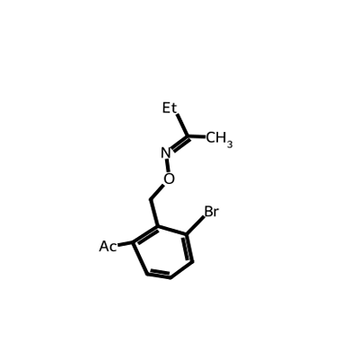 CCC(C)=NOCc1c(Br)cccc1C(C)=O